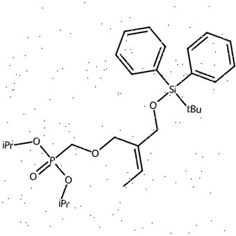 CC=C(COCP(=O)(OC(C)C)OC(C)C)CO[Si](c1ccccc1)(c1ccccc1)C(C)(C)C